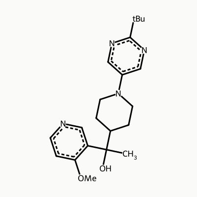 COc1ccncc1C(C)(O)C1CCN(c2cnc(C(C)(C)C)nc2)CC1